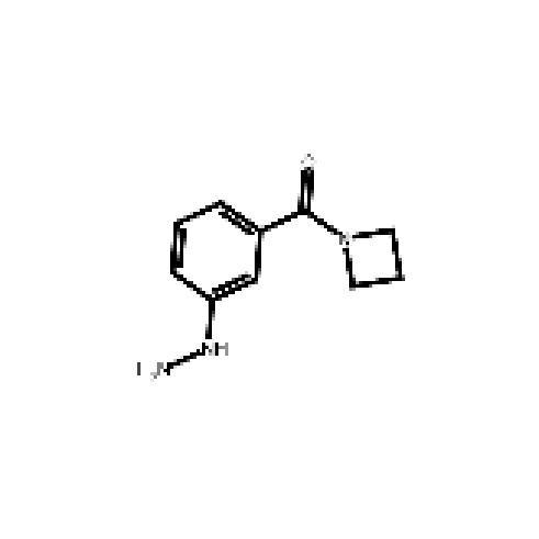 NNc1cccc(C(=O)N2CCC2)c1